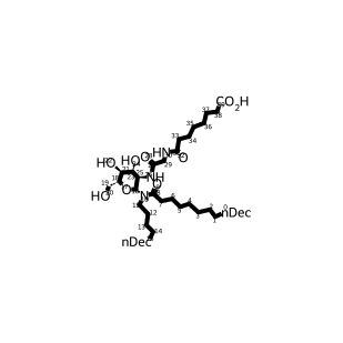 CCCCCCCCCCCCCCCCCC(=O)N(CCCCCCCCCCCCCC)[C@@H]1O[C@H](CO)[C@@H](O)[C@H](O)[C@H]1NC(=O)CNC(=O)CCCCCCC(=O)O